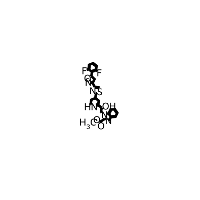 COC(=O)c1nc2ccccc2n1CC(O)C1CC(c2nc(C3=NOC(c4c(F)cccc4F)C3)cs2)CCN1